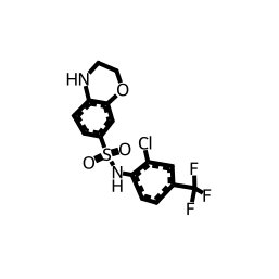 O=S(=O)(Nc1ccc(C(F)(F)F)cc1Cl)c1ccc2c(c1)OCCN2